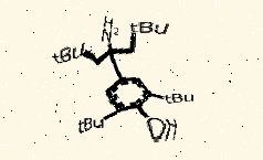 CC(C)(C)CC(N)(CC(C)(C)C)c1cc(C(C)(C)C)c(O)c(C(C)(C)C)c1